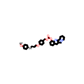 O=C(OCc1ccc(OC=CC[Se]c2ccc(OC(F)(F)F)cc2)cc1)Oc1cccc2cc3cn4ccccc4c3nc12